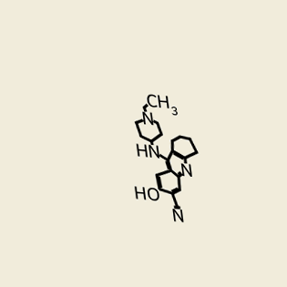 CCN1CCC(Nc2c3c(nc4cc(C#N)c(O)cc24)CCCC3)CC1